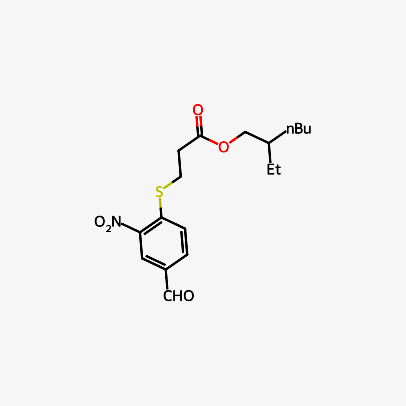 CCCCC(CC)COC(=O)CCSc1ccc(C=O)cc1[N+](=O)[O-]